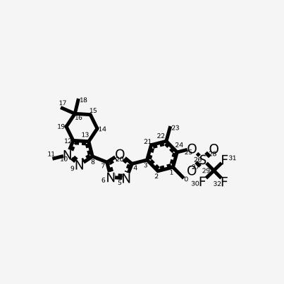 Cc1cc(-c2nnc(-c3nn(C)c4c3CCC(C)(C)C4)o2)cc(C)c1OS(=O)(=O)C(F)(F)F